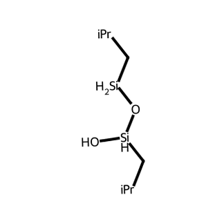 CC(C)C[SiH2]O[SiH](O)CC(C)C